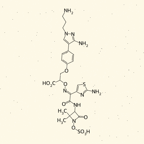 CC1(C)C(NC(=O)C(=NOC(COc2ccc(-c3cn(CCCN)nc3N)cc2)C(=O)O)c2csc(N)n2)C(=O)N1OS(=O)(=O)O